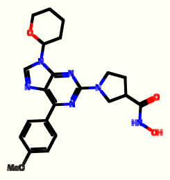 COc1ccc(-c2nc(N3CCC(C(=O)NO)C3)nc3c2ncn3C2CCCCO2)cc1